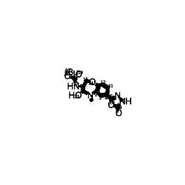 CN1c2cc(-c3n[nH]c(=O)o3)ccc2OC[C@H](NC(=O)OC(C)(C)C)C1O